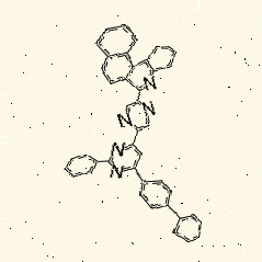 c1ccc(-c2ccc(-c3cc(-c4cnc(-c5nc6ccccc6c6c5ccc5ccccc56)cn4)nc(-c4ccccc4)n3)cc2)cc1